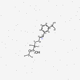 CC(C)OC(O)C(C)(C)CC/C=C/c1cccc(C(C)C)c1